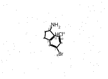 Cl.NC1CCc2cc(Br)ccc21